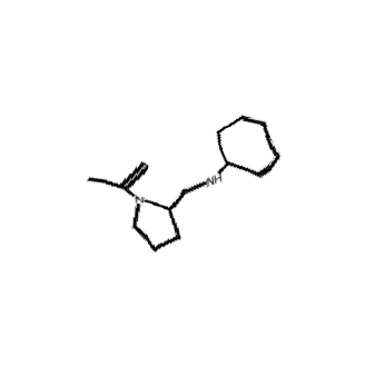 C=C(C)N1CCCC1CNC1CCCCC1